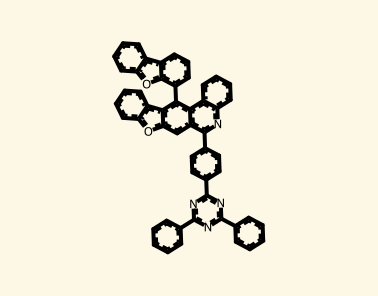 c1ccc(-c2nc(-c3ccccc3)nc(-c3ccc(-c4nc5ccccc5c5c(-c6cccc7c6oc6ccccc67)c6c(cc45)oc4ccccc46)cc3)n2)cc1